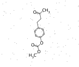 COC(=O)Oc1ccc(CCC(C)=O)cc1